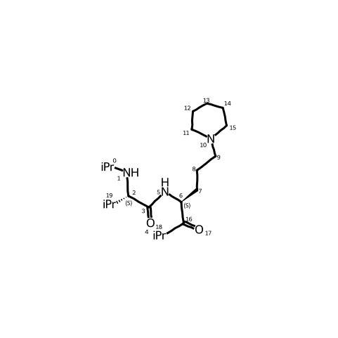 CC(C)N[C@H](C(=O)N[C@@H](CCCN1CCCCC1)C(=O)C(C)C)C(C)C